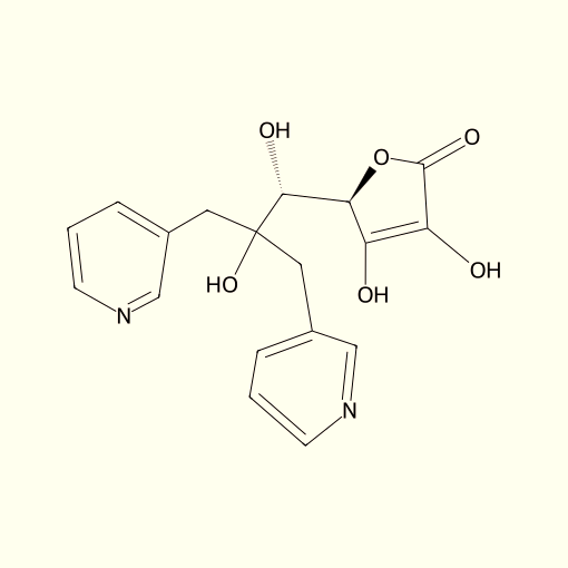 O=C1O[C@H]([C@@H](O)C(O)(Cc2cccnc2)Cc2cccnc2)C(O)=C1O